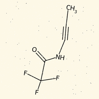 CC#CNC(=O)C(F)(F)F